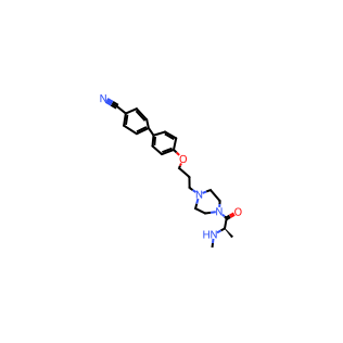 CN[C@H](C)C(=O)N1CCN(CCCOc2ccc(-c3ccc(C#N)cc3)cc2)CC1